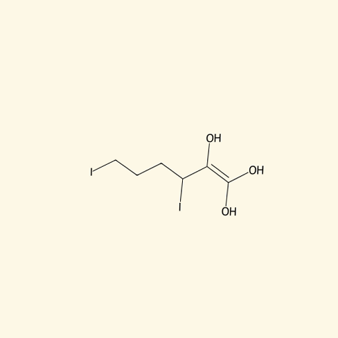 OC(O)=C(O)C(I)CCCI